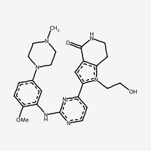 COc1ccc(N2CCN(C)CC2)cc1Nc1nccc(-c2cc3c(n2CCO)CCNC3=O)n1